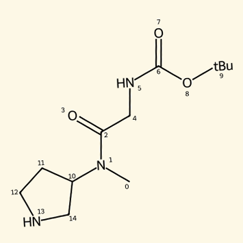 CN(C(=O)CNC(=O)OC(C)(C)C)C1CCNC1